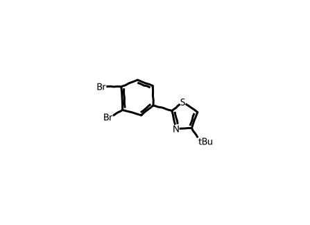 CC(C)(C)c1csc(-c2ccc(Br)c(Br)c2)n1